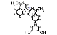 C/C(=N\N(C)c1ccc(N(CCO)CCO)cc1)c1cc[n+](C)c2ccccc12